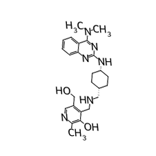 Cc1ncc(CO)c(CNC[C@H]2CC[C@@H](Nc3nc(N(C)C)c4ccccc4n3)CC2)c1O